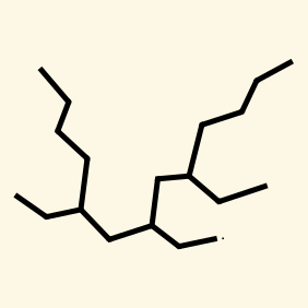 [CH2]CC(CC(CC)CCCC)CC(CC)CCCC